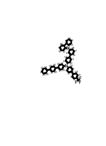 FC(F)(F)c1ccc(-c2ccc(N(c3ccc(-c4ccc(-c5ccccc5)cc4)cc3)c3ccc(-c4cccc(-n5c6ccccc6c6ccccc65)c4)cc3)cc2)cc1